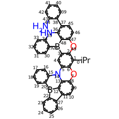 CC(C)c1c2c(cc3c1Oc1ccc4c5c1N3c1ccccc1B5c1ccccc1-4)B1c3ccccc3Nc3c(-c4ccccc4N)ccc(c31)O2